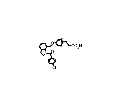 O=C(O)CCc1ccc(OCc2cccc3c2N(C(=O)c2ccc(Cl)cc2)CC3)cc1F